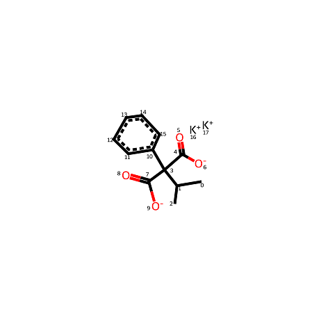 CC(C)C(C(=O)[O-])(C(=O)[O-])c1ccccc1.[K+].[K+]